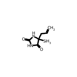 C=CCC1([SiH3])NC(=O)NC1=O